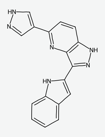 c1ccc2[nH]c(-c3n[nH]c4ccc(-c5cn[nH]c5)nc34)cc2c1